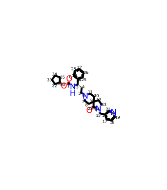 O=C(N[C@@H](CCN1CCC2(CC1)CCN(Cc1cccnc1)C2=O)c1ccccc1)OC1CCCC1